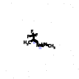 CN/C=N\C=C(/C)C(F)(F)F